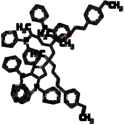 C=Cc1ccc(/C=C/CCC(C)(C)C(CC(C(C)P(c2ccccc2)c2ccccc2)P(c2ccccc2)c2ccccc2)CC(C)(CC/C=C/c2ccc(C=C)cc2)C2CC(P(c3ccccc3)c3ccccc3)C(P(c3ccccc3)c3ccccc3)C2)cc1